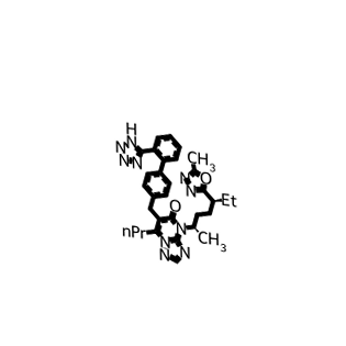 CCCc1c(Cc2ccc(-c3ccccc3-c3nnn[nH]3)cc2)c(=O)n([C@@H](C)CC[C@H](CC)c2nnc(C)o2)c2ncnn12